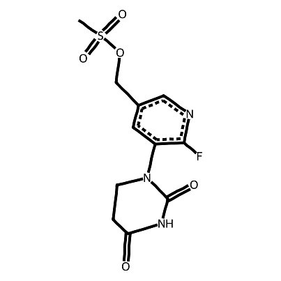 CS(=O)(=O)OCc1cnc(F)c(N2CCC(=O)NC2=O)c1